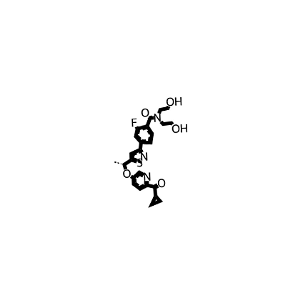 C[C@@H](Oc1ccc(C(=O)C2CC2)nc1)c1cc(-c2ccc(C(=O)N(CCO)CCO)c(F)c2)ns1